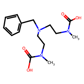 CN(CCN(CCN(C)C(=O)O)Cc1ccccc1)C(=O)O